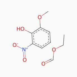 CCOC=O.COc1cccc([N+](=O)[O-])c1O